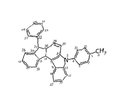 Cc1ccc(-n2c3c(c4ccccc42)C2c4ccccc4C(c4ccccc4)C2C=C3)cc1